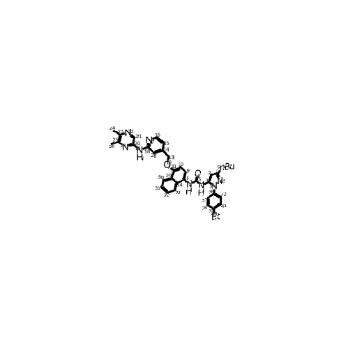 CCCCc1cc(NC(=O)Nc2ccc(OCc3ccnc(Nc4cnc(C)c(C)n4)c3)c3ccccc23)n(-c2ccc(CC)cc2)n1